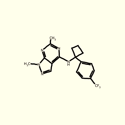 Cc1nc(NC2(c3ccc(C(F)(F)F)cc3)CCC2)c2cnn(C)c2n1